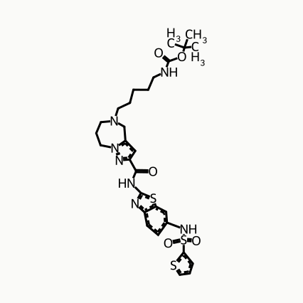 CC(C)(C)OC(=O)NCCCCCN1CCCn2nc(C(=O)Nc3nc4ccc(NS(=O)(=O)c5cccs5)cc4s3)cc2C1